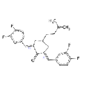 CN(C)CCC1C/C(=C\c2ccc(F)c(F)c2)C(=O)/C(=C/c2ccc(F)c(F)c2)C1